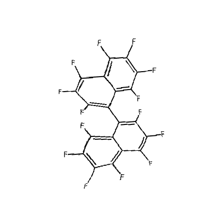 Fc1c(F)c(F)c2c(-c3c(F)c(F)c(F)c4c(F)c(F)c(F)c(F)c34)c(F)c(F)c(F)c2c1F